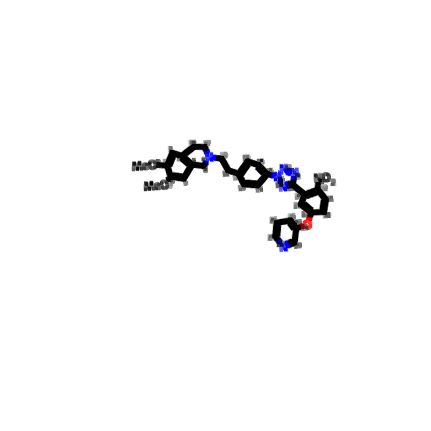 COc1cc2c(cc1OC)CN(CCc1ccc(-n3nnc(-c4cc(Oc5cccnc5)ccc4[N+](=O)[O-])n3)cc1)CC2